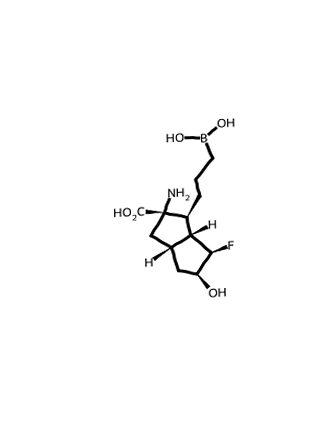 N[C@@]1(C(=O)O)C[C@H]2C[C@H](O)[C@H](F)[C@H]2[C@@H]1CCCB(O)O